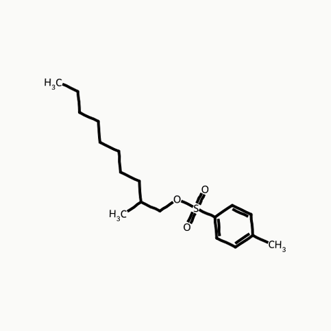 CCCCCCCCC(C)COS(=O)(=O)c1ccc(C)cc1